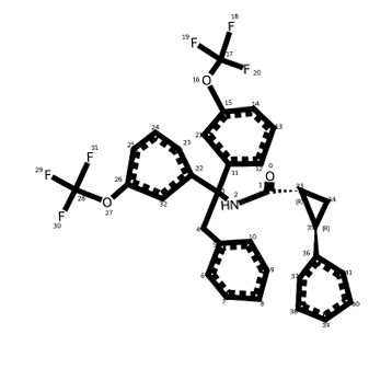 O=C(NC(Cc1ccccc1)(c1cccc(OC(F)(F)F)c1)c1cccc(OC(F)(F)F)c1)[C@@H]1C[C@H]1c1ccccc1